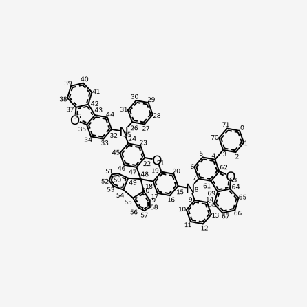 c1ccc(-c2ccc(N(c3ccccc3)c3ccc4c(c3)Oc3cc(N(c5ccccc5)c5ccc6oc7ccccc7c6c5)ccc3C43c4ccccc4-c4ccccc43)c3c2oc2ccccc23)cc1